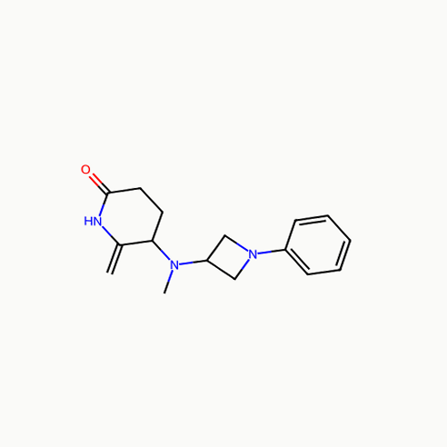 C=C1NC(=O)CCC1N(C)C1CN(c2ccccc2)C1